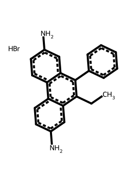 Br.CCc1c(-c2ccccc2)c2cc(N)ccc2c2ccc(N)cc12